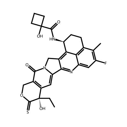 CC[C@@]1(O)C(=S)OCc2c1cc1n(c2=O)Cc2c-1nc1cc(F)c(C)c3c1c2[C@@H](NC(=O)C1(O)CCC1)CC3